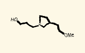 COCCC1CCN(CCCO)C1